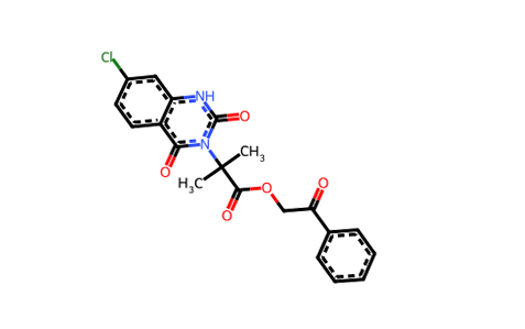 CC(C)(C(=O)OCC(=O)c1ccccc1)n1c(=O)[nH]c2cc(Cl)ccc2c1=O